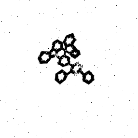 c1ccc(-c2nnc(-c3ccc4c(c3)C3(c5ccccc5-c5ccccc53)c3cccc5c6ccccc6n-4c35)c(-c3ccccc3)n2)cc1